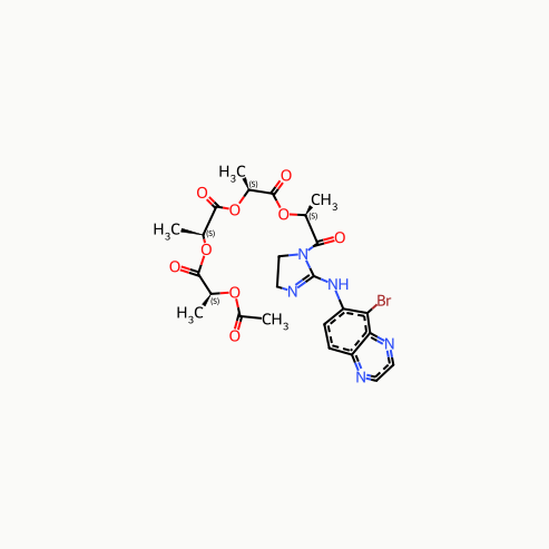 CC(=O)O[C@@H](C)C(=O)O[C@@H](C)C(=O)O[C@@H](C)C(=O)O[C@@H](C)C(=O)N1CCN=C1Nc1ccc2nccnc2c1Br